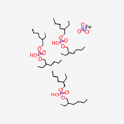 CCCCC(CC)COP(=O)(O)OCC(CC)CCCC.CCCCC(CC)COP(=O)(O)OCC(CC)CCCC.CCCCC(CC)COP(=O)(O)OCC(CC)CCCC.O=[N+]([O-])[O-].[Fe]